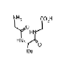 CC[C@H](C)[C@H](NC(=O)CN)C(=O)NCC(=O)O